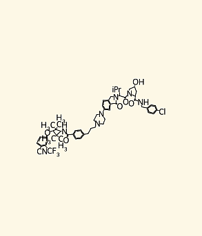 CC(C)C(C(=O)N1C[C@H](O)C[C@H]1C(=O)NCc1ccc(Cl)cc1)N1Cc2ccc(N3CCN(CCCc4ccc(C(=O)N[C@H]5C(C)(C)[C@H](Oc6ccc(C#N)c(C(F)(F)F)c6)C5(C)C)cc4)CC3)cc2C1=O